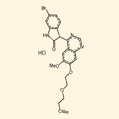 COCCOCCOc1cc2ncnc(C3C(=O)Nc4cc(Br)ccc43)c2cc1OC.Cl